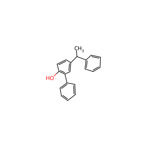 CC(c1ccccc1)c1ccc(O)c(-c2ccccc2)c1